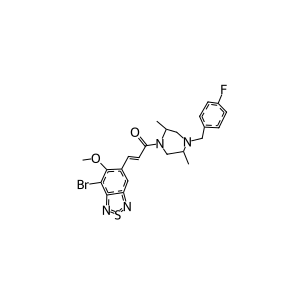 COc1c(C=CC(=O)N2CC(C)N(Cc3ccc(F)cc3)CC2C)cc2nsnc2c1Br